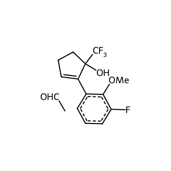 CC=O.COc1c(F)cccc1C1=CCCC1(O)C(F)(F)F